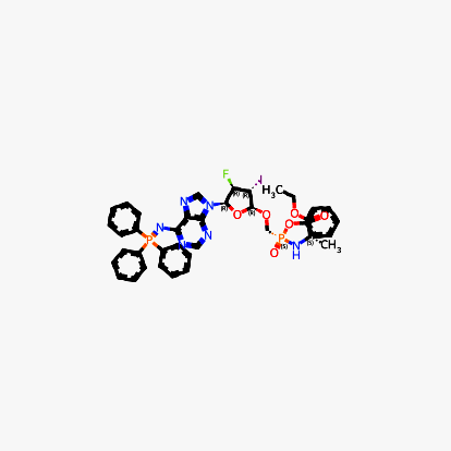 CCOC(=O)[C@H](C)N[P@](=O)(CO[C@H]1O[C@@H](n2cnc3c(N=P(c4ccccc4)(c4ccccc4)c4ccccc4)ncnc32)[C@@H](F)[C@@H]1I)Oc1ccccc1